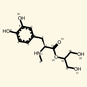 CN[C@@H](Cc1ccc(O)c(O)c1)C(=O)OC(CO)CO